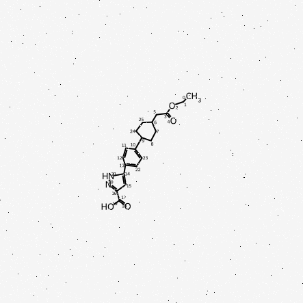 CCOC(=O)CC1CCC(c2ccc(-c3cc(C(=O)O)n[nH]3)cc2)CC1